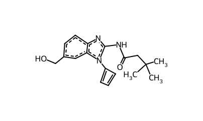 CC(C)(C)CC(=O)Nc1nc2ccc(CO)cc2n1C1=CC=C1